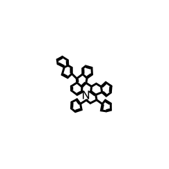 c1ccc(C2=NC3=C(c4ccccc4CC3c3c4ccccc4c(-c4ccc5ccccc5c4)c4ccccc34)C(c3ccccc3)C2)cc1